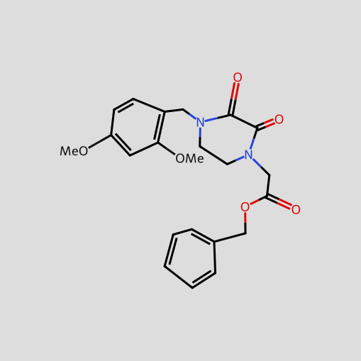 COc1ccc(CN2CCN(CC(=O)OCc3ccccc3)C(=O)C2=O)c(OC)c1